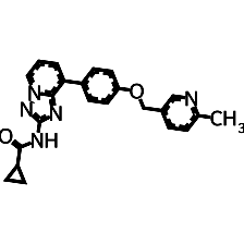 Cc1ccc(COc2ccc(-c3cccn4nc(NC(=O)C5CC5)nc34)cc2)cn1